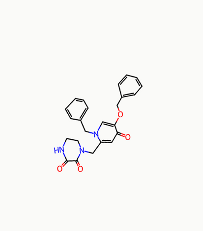 O=C1NCCN(Cc2cc(=O)c(OCc3ccccc3)cn2Cc2ccccc2)C1=O